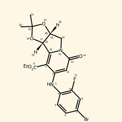 CCOC(=O)c1c(Nc2ccc(Br)cc2F)cc(=O)n2c1[C@@H]1OC(C)(C)O[C@@H]1C2